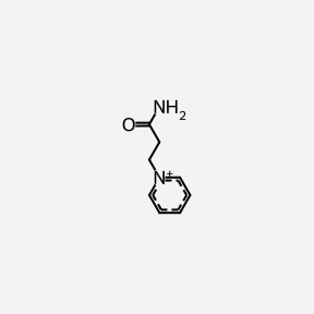 NC(=O)CC[n+]1ccccc1